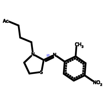 CC(=O)CCCN1CCS/C1=N\c1ccc([N+](=O)[O-])cc1C